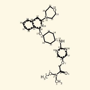 CON(C)C(=O)COc1cnc(N[C@H]2CC[C@@H](Oc3nc(N4CCOCC4)cc4ccccc34)CC2)nc1